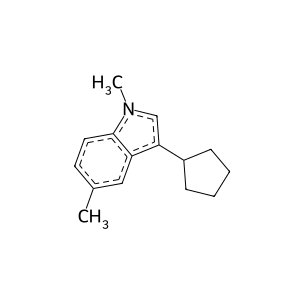 Cc1ccc2c(c1)c(C1CCCC1)cn2C